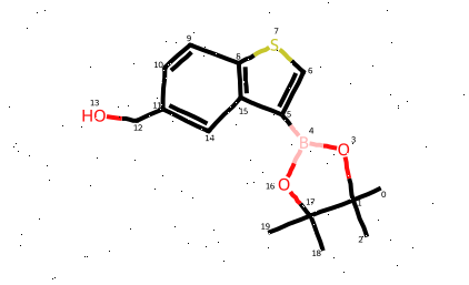 CC1(C)OB(c2csc3ccc(CO)cc23)OC1(C)C